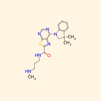 CNCCCNC(=O)c1nc2c(N3CC(C)(C)c4ccccc43)ncnc2s1